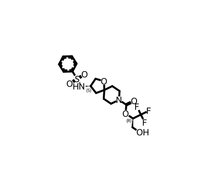 O=C(O[C@H](CO)C(F)(F)F)N1CCC2(CC1)C[C@H](NS(=O)(=O)c1ccccc1)CO2